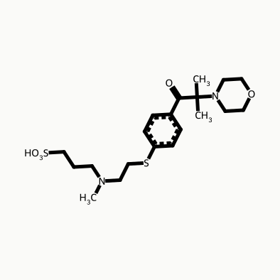 CN(CCCS(=O)(=O)O)CCSc1ccc(C(=O)C(C)(C)N2CCOCC2)cc1